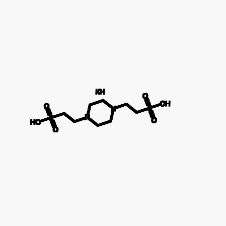 O=S(=O)(O)CCN1CCN(CCS(=O)(=O)O)CC1.[KH]